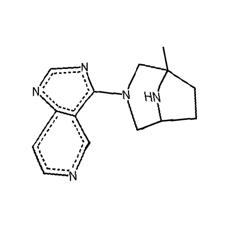 CC12CCC(CN(c3ncnc4ccncc34)C1)N2